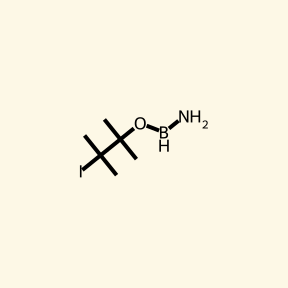 CC(C)(I)C(C)(C)OBN